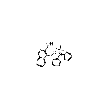 CC(C)(C)[Si](OCc1c(CO)ncc2ccccc12)(c1ccccc1)c1ccccc1